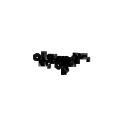 COc1c(OC[C@H](O)CN[C@@H](N)c2ccccc2)ccc2c1N=C(NC(=O)c1cnc(N)nc1)N1CCN=C21